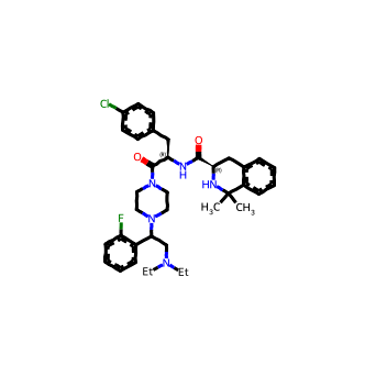 CCN(CC)CC(c1ccccc1F)N1CCN(C(=O)[C@@H](Cc2ccc(Cl)cc2)NC(=O)[C@H]2Cc3ccccc3C(C)(C)N2)CC1